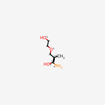 C/C(COCCO)=C(/O)P